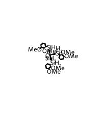 COc1cccc([SiH2]C#CC(C#C[SiH2]c2cccc(OC)c2OC)(C#C[SiH2]c2cccc(OC)c2OC)O[SiH3])c1OC